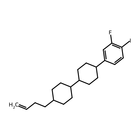 C=CCCC1CCC(C2CCC(c3ccc(I)c(F)c3)CC2)CC1